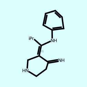 CC(C)/C(Nc1ccccc1)=C1\CNCCC1=N